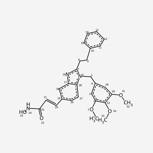 COc1cc(Cn2c(CCc3ccccc3)nc3cc(C=CC(=O)NO)ccc32)cc(OC)c1OC